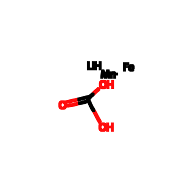 O=C(O)O.[Fe].[LiH].[Mn]